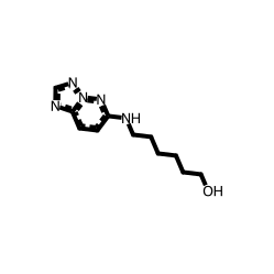 OCCCCCCNc1ccc2ncnn2n1